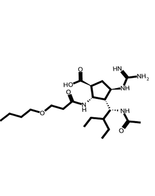 CCCCOCCC(=O)N[C@H]1[C@@H]([C@H](NC(C)=O)C(CC)CC)[C@H](NC(=N)N)C[C@@H]1C(=O)O